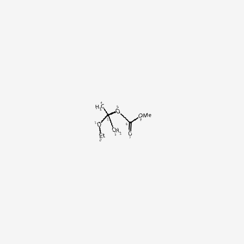 CCOC(C)(C)OC(=O)OC